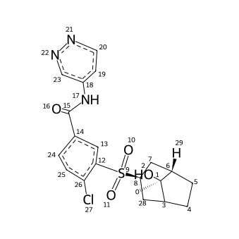 C[C@@]1(O)C2CC[C@H]1C[C@H](S(=O)(=O)c1cc(C(=O)Nc3ccnnc3)ccc1Cl)C2